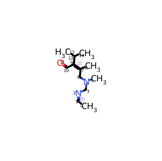 C/C=N\CN(C)C/C(C)=C(\C=O)C(C)C